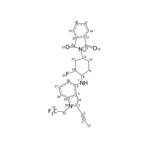 [CH2]C#Cc1cc2c(NC3CCC(N4C(=O)c5ccccc5C4=O)CC3F)cccc2n1CC(F)(F)F